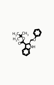 CC(C)(C)OC(=O)C1c2ccccc2N[C@@H]1COc1ccccc1